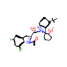 CC(=O)N[C@@H](Cc1cc(F)cc(F)c1)[C@H](O)CNC1(c2cccc(C(C)(C)C)c2)CCCCC1O